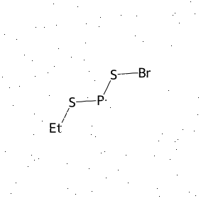 CCS[P]SBr